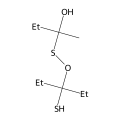 CCC(S)(CC)OSC(C)(O)CC